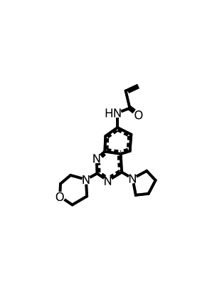 C=CC(=O)Nc1ccc2c(N3CCCC3)nc(N3CCOCC3)nc2c1